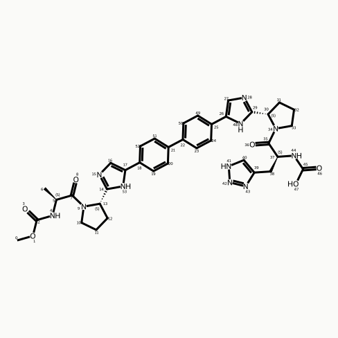 COC(=O)N[C@@H](C)C(=O)N1CCC[C@H]1c1ncc(-c2ccc(-c3ccc(-c4cnc([C@@H]5CCCN5C(=O)[C@H](Cc5c[nH]nn5)NC(=O)O)[nH]4)cc3)cc2)[nH]1